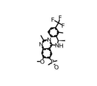 COc1cc2nc(C)nc(N[C@H](C)c3cccc(C(F)(F)F)c3C)c2cc1P(C)(C)=O